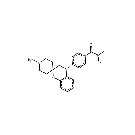 CCN(CC)C(=O)c1ccc([C@H]2CC3(CCN(N)CC3)Oc3ccccc32)cc1